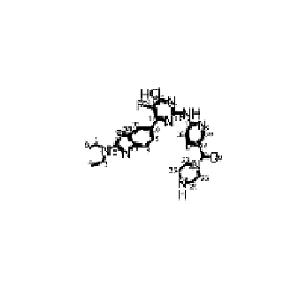 CCN(CC)c1nc2ccc(-c3nc(Nc4ccc(C(=O)N5CCNCC5)cn4)ncc3F)cc2s1.Cl